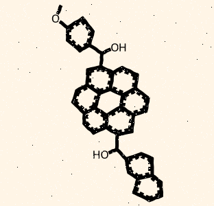 COc1ccc(C(O)c2cc3ccc4ccc5c(C(O)c6ccc7ccccc7c6)cc6ccc7ccc2c2c7c6c5c4c32)cc1